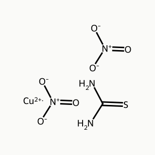 NC(N)=S.O=[N+]([O-])[O-].O=[N+]([O-])[O-].[Cu+2]